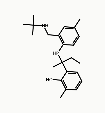 CCC(C)(Pc1ccc(C)cc1CNC(C)(C)C)c1cccc(C)c1O